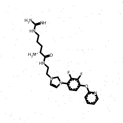 N=C(N)NCCC[C@@H](N)C(=O)NCCN1C=CN(c2ccc(Oc3ccccn3)c(F)c2F)C1